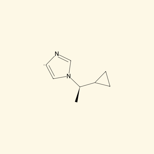 C[C@H](C1CC1)n1c[c]nc1